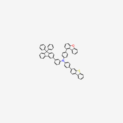 c1ccc(C2(c3ccccc3)c3ccccc3-c3cc(-c4cccc(N(c5ccc(-c6ccc7c(c6)sc6ccccc67)cc5)c5ccc(-c6cccc7oc8ccccc8c67)cc5)c4)ccc32)cc1